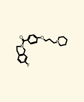 O=C(c1ccc(OCCCN2CCCCC2)cc1)N1CCc2ccc(F)cc2C1